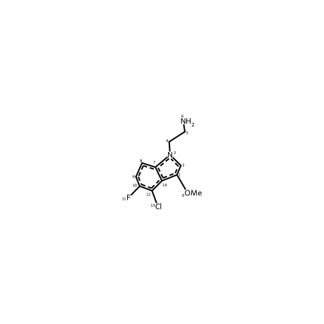 COc1cn(CCN)c2ccc(F)c(Cl)c12